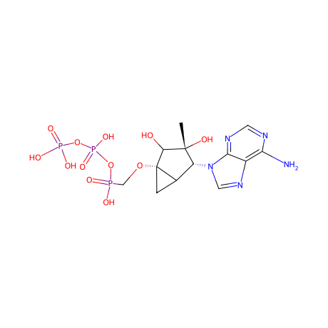 C[C@]1(O)C(O)[C@]2(OCP(=O)(O)OP(=O)(O)OP(=O)(O)O)CC2[C@H]1n1cnc2c(N)ncnc21